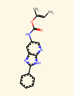 CC=C(C)OC(=O)Nc1cnc2[nH]c(-c3ccccc3)nc2c1